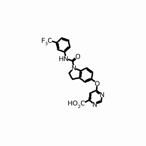 O=C(O)c1cc(Oc2ccc3c(c2)CCN3C(=O)Nc2cccc(C(F)(F)F)c2)ncn1